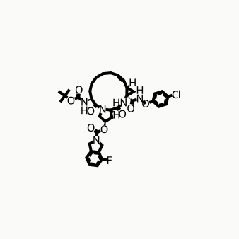 CC(C)(C)OC(=O)N[C@H]1CCCCC/C=C\[C@@H]2C[C@@]2(C(=O)NOc2ccc(Cl)cc2)NC(=O)[C@@H]2C[C@@H](OC(=O)N3Cc4cccc(F)c4C3)CN2C1=O